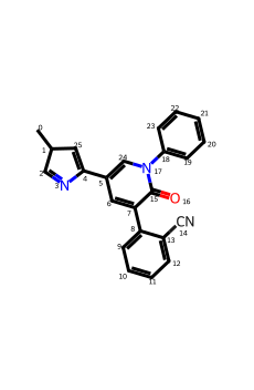 CC1C=NC(c2cc(-c3ccccc3C#N)c(=O)n(-c3ccccc3)c2)=C1